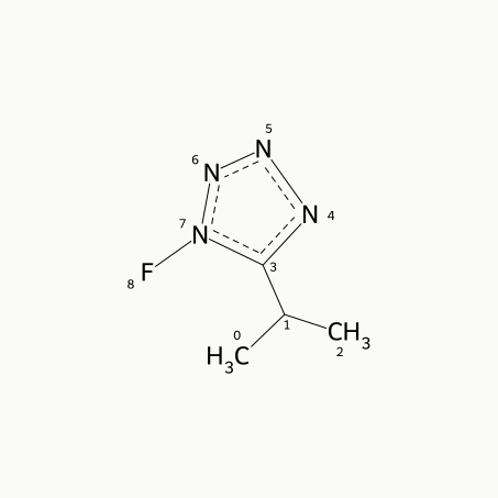 CC(C)c1nnnn1F